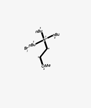 CCCC[N+](CCCC)(CCCC)CCOC.[Br-]